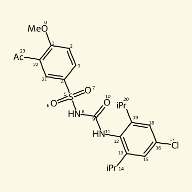 COc1ccc(S(=O)(=O)NC(=O)Nc2c(C(C)C)cc(Cl)cc2C(C)C)cc1C(C)=O